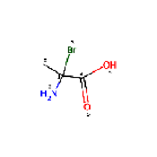 CC(N)(Br)C(=O)O